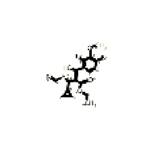 CCOC(=O)C(=C(O)c1ccc(Br)c(OC)c1F)C(SC=N)C1CC1